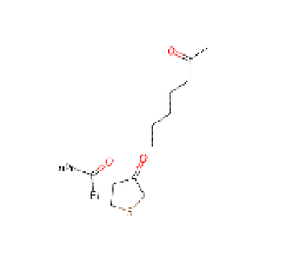 CCCC(=O)CC.CCCCCC(C)=O.O=C1CCSC1